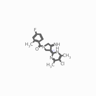 CC1=N/C(=C2\CN(C(=O)c3ccc(F)cc3C)CC2=N)NC(C)=C1Cl